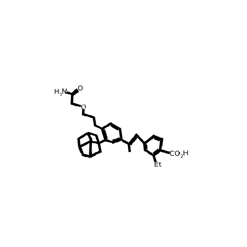 CCc1cc(/C=C(\C)c2ccc(CCCOCC(N)=O)c(C34CC5CC(CC(C5)C3)C4)c2)ccc1C(=O)O